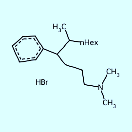 Br.CCCCCCC(C)C(CCCN(C)C)c1ccccc1